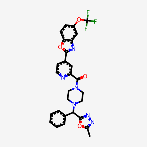 Cc1nnc(C(c2ccccc2)N2CCN(C(=O)c3cc(-c4nc5cc(OC(F)(F)F)ccc5o4)ccn3)CC2)o1